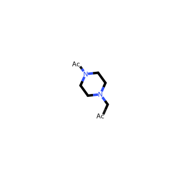 CC(=O)CN1CCN(C(C)=O)CC1